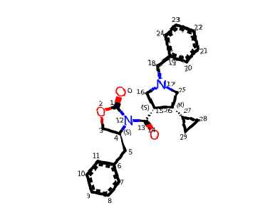 O=C1OC[C@H](Cc2ccccc2)N1C(=O)[C@@H]1CN(Cc2ccccc2)C[C@@H]1C1CC1